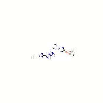 Cn1cc(-c2cnc3nnn(C[C@@H]4CN(c5ncc(B6OC(C)(C)C(C)(C)O6)cn5)CCO4)c3n2)cn1